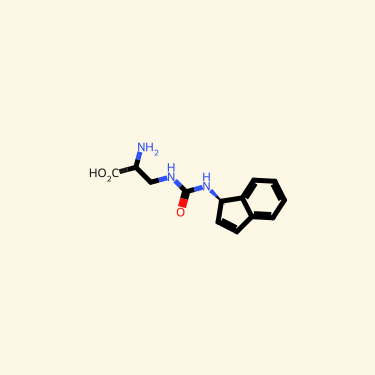 NC(CNC(=O)N[C@@H]1C=Cc2ccccc21)C(=O)O